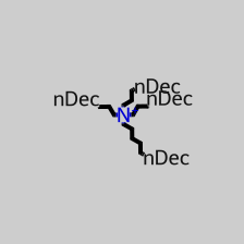 CCCCCCCCCCCCCCC[N+](CCCCCCCCCCCCC)(CCCCCCCCCCCCC)CCCCCCCCCCCCC